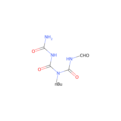 CCCCN(C(=O)NC=O)C(=O)NC(N)=O